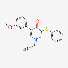 C#CCN1C=C(c2cccc(OC)c2)C(=O)C(Sc2ccccc2)C1